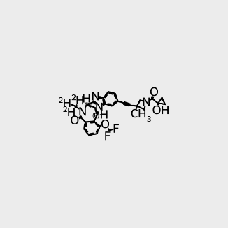 [2H]C([2H])([2H])N1C(=O)c2cccc(OC(F)F)c2[C@H]2C[C@@H]1c1nc3ccc(C#CC4(C)CN(C(=O)C5(O)CC5)C4)cc3n12